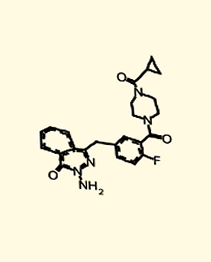 Nn1nc(Cc2ccc(F)c(C(=O)N3CCN(C(=O)C4CC4)CC3)c2)c2ccccc2c1=O